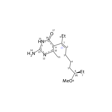 CC/C(=C/CCC[C@@H](CC)OC)c1c(C)nc(N)[nH]c1=O